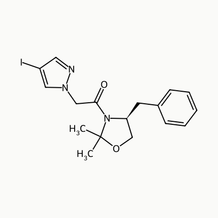 CC1(C)OC[C@H](Cc2ccccc2)N1C(=O)Cn1cc(I)cn1